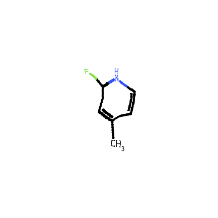 CC1=CC(F)NC=C1